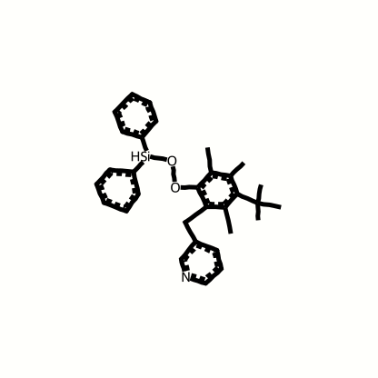 Cc1c(C)c(C(C)(C)C)c(C)c(Cc2cccnc2)c1OO[SiH](c1ccccc1)c1ccccc1